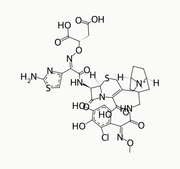 CO/N=C(\C(=O)NCC1C[C@H]2CC[C@@H](C1)[N+]2(C)CC1=C(C(=O)O)N2C(=O)[C@@H](NC(=O)/C(=N\O[C@@H](CC(=O)O)C(=O)O)c3csc(N)n3)[C@H]2SC1)c1ccc(O)c(O)c1Cl